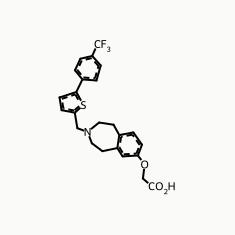 O=C(O)COc1ccc2c(c1)CCN(Cc1ccc(-c3ccc(C(F)(F)F)cc3)s1)CC2